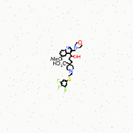 COc1ccc2ncc(CN3CCOCC3)c(C(O)CCC3(CC(=O)O)CCN(CCSc4cc(F)c(F)c(F)c4)CC3)c2c1